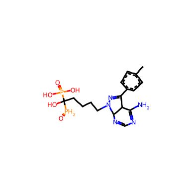 Cc1ccc(C2=NN(CCCCC(O)([PH2]=O)P(=O)(O)O)C3N=CN=C(N)C23)cc1